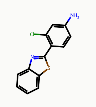 Nc1ccc(-c2nc3ccccc3s2)c(Cl)c1